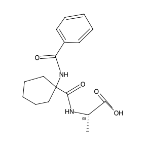 C[C@H](NC(=O)C1(NC(=O)c2ccccc2)CCCCC1)C(=O)O